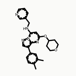 Cc1ccc(-c2cnn3c(NCc4cccnc4)cc(OC4CCOCC4)nc23)cc1C